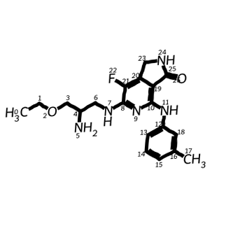 CCOCC(N)CNc1nc(Nc2cccc(C)c2)c2c(c1F)CNC2=O